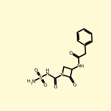 NS(=O)(=O)NC(=O)N1CC(NC(=O)Cc2ccccc2)C1=O